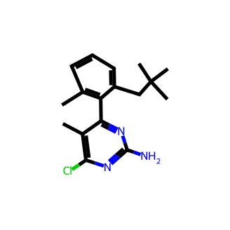 Cc1cccc(CC(C)(C)C)c1-c1nc(N)nc(Cl)c1C